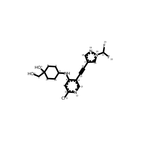 OCC1(O)CCC(Nc2cc(Cl)ncc2C#Cc2cnn(C(F)F)c2)CC1